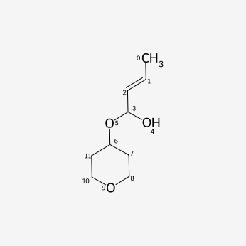 CC=CC(O)OC1CCOCC1